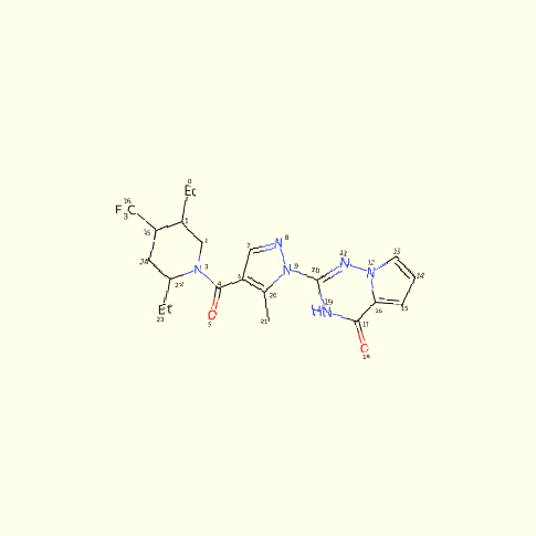 CCC1CN(C(=O)c2cnn(-c3nn4cccc4c(=O)[nH]3)c2C)C(CC)CC1C(F)(F)F